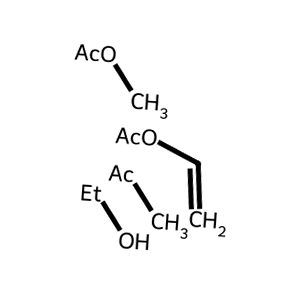 C=COC(C)=O.CC(C)=O.CCO.COC(C)=O